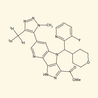 [2H]C([2H])([2H])c1nnn(C)c1-c1cnc2c3[nH]nc(C(=O)OC)c3n(C(c3ncccc3F)C3CCOCC3)c2c1